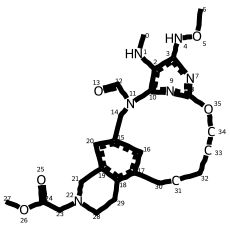 CNc1c(NOC)nc2nc1N(C=O)Cc1cc(c3c(c1)CN(CC(=O)OC)CC3)CCCCCO2